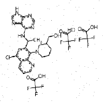 CC(Nc1ncnc2[nH]cnc12)c1cc(Cl)c2cccnc2c1N1CCCC(CO)C1.O=C(O)C(F)(F)F.O=C(O)C(F)(F)F.O=C(O)C(F)(F)F